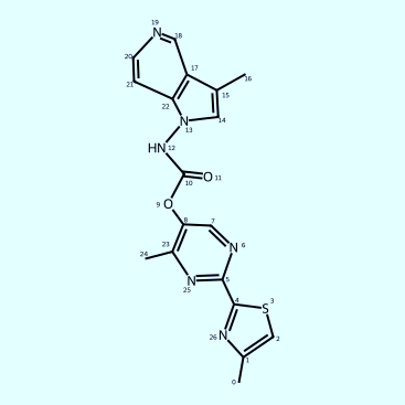 Cc1csc(-c2ncc(OC(=O)Nn3cc(C)c4cnccc43)c(C)n2)n1